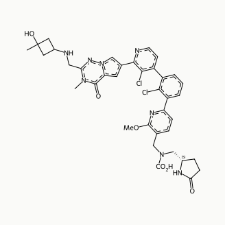 COc1nc(-c2cccc(-c3ccnc(-c4cc5c(=O)n(C)c(CNC6CC(C)(O)C6)nn5c4)c3Cl)c2Cl)ccc1CN(C[C@@H]1CCC(=O)N1)C(=O)O